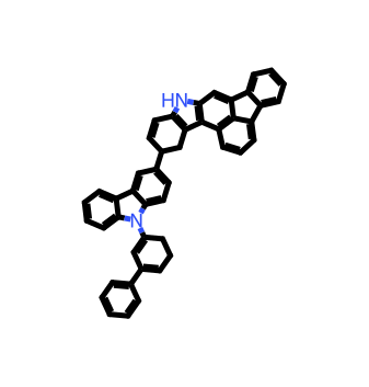 C1=CC(c2ccc3c(c2)c2ccccc2n3C2=CC(c3ccccc3)=CCC2)Cc2c1[nH]c1cc3c4c(cccc4c21)-c1ccccc1-3